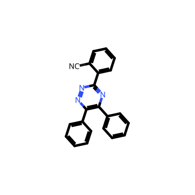 N#Cc1ccccc1-c1nnc(-c2ccccc2)c(-c2ccccc2)n1